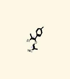 CC/C(C)=C(\O/C=C(\C)C#N)c1ccc(C)cc1